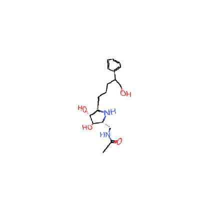 CC(=O)NC[C@H]1N[C@H](CCCC(CO)c2ccccc2)[C@@H](O)[C@@H]1O